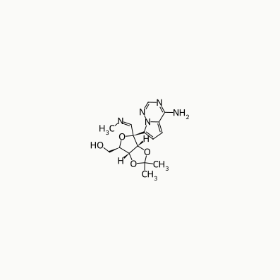 C/N=C\[C@@]1(c2ccc3c(N)ncnn23)O[C@H](CO)[C@H]2OC(C)(C)O[C@H]21